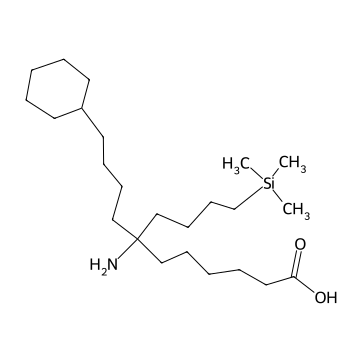 C[Si](C)(C)CCCCC(N)(CCCCCC(=O)O)CCCCC1CCCCC1